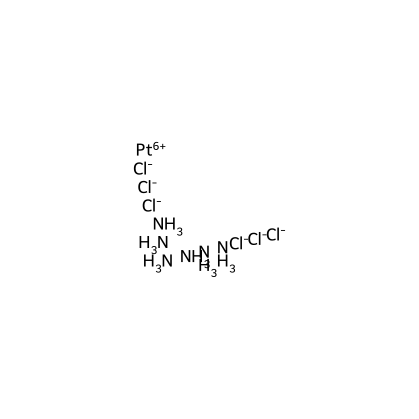 N.N.N.N.N.N.[Cl-].[Cl-].[Cl-].[Cl-].[Cl-].[Cl-].[Pt+6]